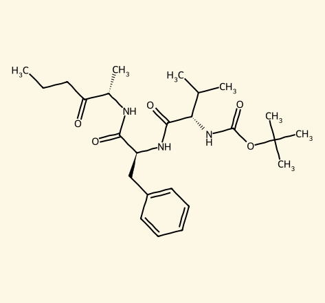 CCCC(=O)[C@H](C)NC(=O)[C@H](Cc1ccccc1)NC(=O)[C@@H](NC(=O)OC(C)(C)C)C(C)C